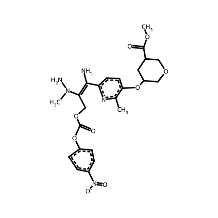 COC(=O)C1COCC(Oc2ccc(/C(N)=C(\COC(=O)Oc3ccc([N+](=O)[O-])cc3)N(C)N)nc2C)C1